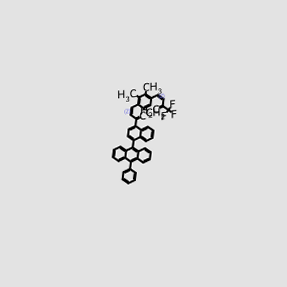 C=C=C(/C=C\c1ccc(/C=C\C(=C)C(F)(F)F)c(C)c1C)c1ccc(-c2c3ccccc3c(-c3ccccc3)c3ccccc23)c2ccccc12